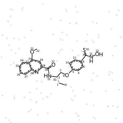 CC[C@@H](COc1ccc(C(=S)NO)cc1)NC(=O)c1cc(OC)c2ccccc2n1